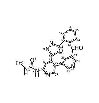 CCNC(=O)Nc1cc(-c2nnc(-c3ccccc3)o2)c(-c2cncc(C=O)c2)cn1